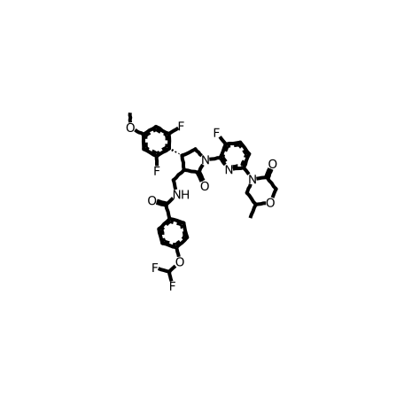 COc1cc(F)c([C@@H]2CN(c3nc(N4CC(C)OCC4=O)ccc3F)C(=O)C2CNC(=O)c2ccc(OC(F)F)cc2)c(F)c1